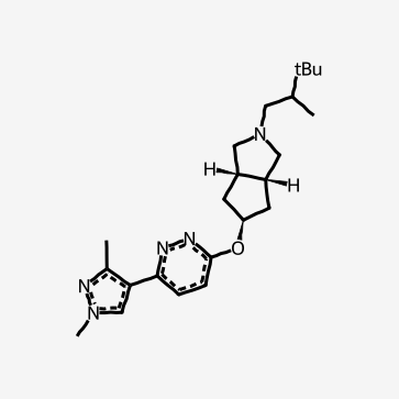 Cc1nn(C)cc1-c1ccc(O[C@H]2C[C@@H]3CN(CC(C)C(C)(C)C)C[C@@H]3C2)nn1